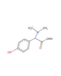 COC(=O)C(c1ccc(O)cc1)N(C)C